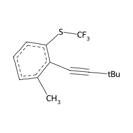 Cc1cccc(SC(F)(F)F)c1C#CC(C)(C)C